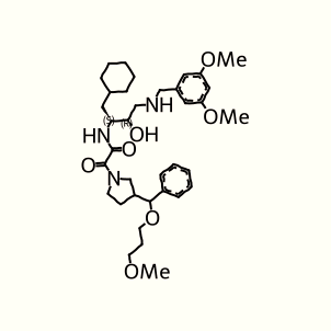 COCCCOC(c1ccccc1)C1CCN(C(=O)C(=O)N[C@@H](CC2CCCCC2)[C@H](O)CNCc2cc(OC)cc(OC)c2)C1